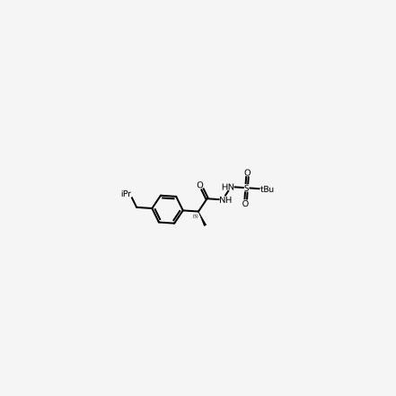 CC(C)Cc1ccc([C@H](C)C(=O)NNS(=O)(=O)C(C)(C)C)cc1